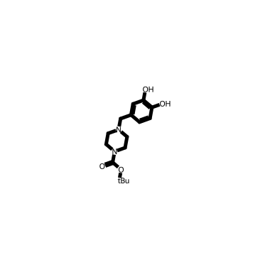 CC(C)(C)OC(=O)N1CCN(Cc2ccc(O)c(O)c2)CC1